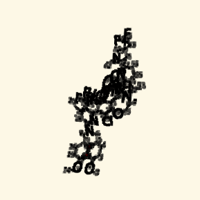 COc1ccc(CN(Cc2ccc(OC)cc2)c2cc(C)c(C(F)(F)F)c(-c3c(Cl)c4c5c(nc(OC[C@@H]6C[C@@]7(CN6C)CC7(F)F)nc5c3F)N([C@H](C)c3cccnc3NC(=O)O)CCO4)n2)cc1